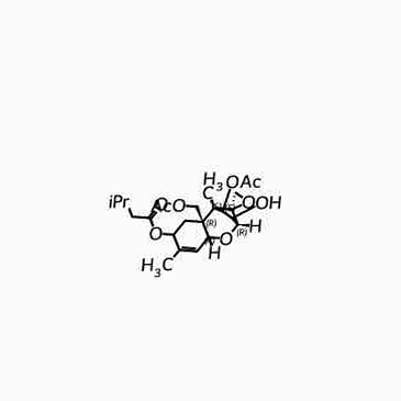 CC(=O)OC[C@]12CC(OC(=O)CC(C)C)C(C)=C[C@H]1O[C@@H]1C(O)C(OC(C)=O)[C@@]2(C)[C@]12CO2